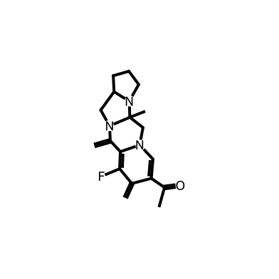 C=C1C(C(C)=O)=CN2CC3(C)N(CC4CCCN43)C(=C)C2=C1F